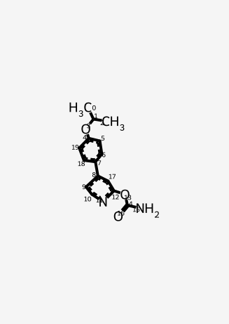 CC(C)Oc1ccc(-c2ccnc(OC(N)=O)c2)cc1